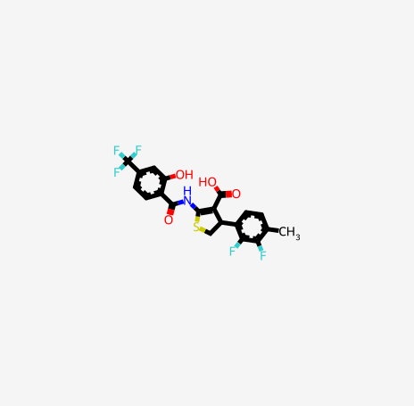 Cc1ccc(C2CSC(NC(=O)c3ccc(C(F)(F)F)cc3O)=C2C(=O)O)c(F)c1F